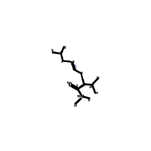 CC(C)C/C=C/CC(C(=O)N(C)C)C(C)C